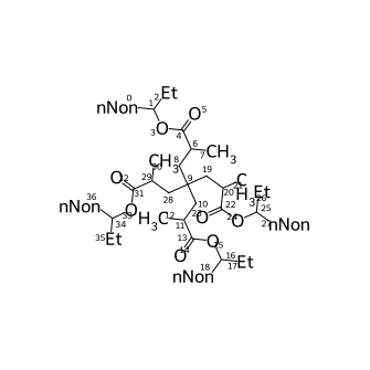 CCCCCCCCCC(CC)OC(=O)C(C)CC(CC(C)C(=O)OC(CC)CCCCCCCCC)(CC(C)C(=O)OC(CC)CCCCCCCCC)CC(C)C(=O)OC(CC)CCCCCCCCC